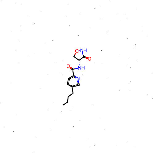 CCCCc1ccc(C(=O)N[C@@H]2CONC2=O)nc1